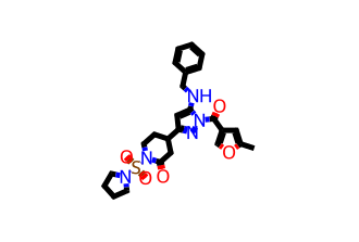 Cc1cc(C(=O)n2nc(C3CCN(S(=O)(=O)N4CCCC4)C(=O)C3)cc2NCc2ccccc2)co1